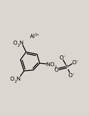 O=P([O-])([O-])[O-].O=[N+]([O-])c1cc([N+](=O)[O-])cc([N+](=O)[O-])c1.[Al+3]